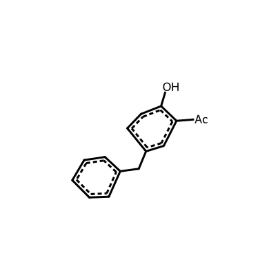 CC(=O)c1cc(Cc2ccccc2)ccc1O